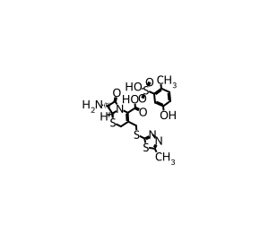 Cc1ccc(O)cc1S(=O)(=O)O.Cc1nnc(SCC2=C(C(=O)O)N3C(=O)[C@@H](N)[C@H]3SC2)s1